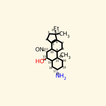 CC[C@]1(C)CCC2=C1CCC1C2[C@@H](N=O)[C@H](O)C2C[C@@H](N)CC[C@]12C